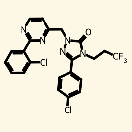 O=c1n(Cc2ccnc(-c3ccccc3Cl)n2)nc(-c2ccc(Cl)cc2)n1CCC(F)(F)F